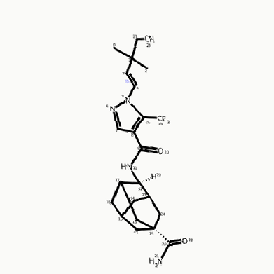 CC(C)(/C=C/n1ncc(C(=O)N[C@H]2C3CC4CC2C[C@](C(N)=O)(C4)C3)c1C(F)(F)F)CC#N